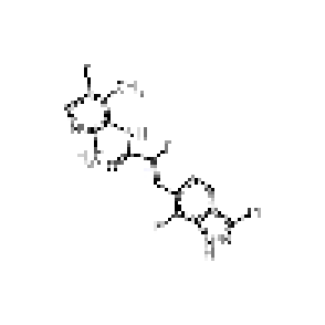 Cc1ncc(F)c(C)c1NC(=O)/C(F)=C/c1ccc2c(Cl)n[nH]c2c1F